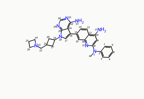 CN(c1ccccc1)c1cc(N)c2ccc(-c3cn(C4CC(CN5CCC5)C4)c4ncnc(N)c34)cc2n1